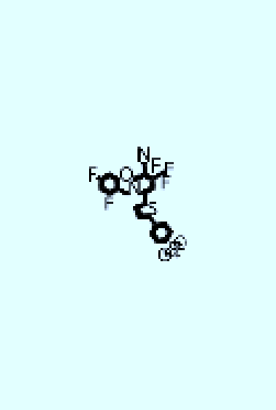 CS(=O)(=O)c1ccc(-c2ccc(-c3cc(C(F)(F)F)c(C#N)c(=O)n3Cc3ccc(F)cc3F)s2)cc1